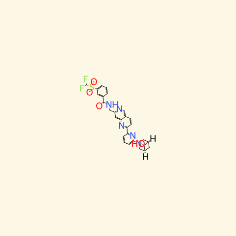 O=C(NCc1cc2nc(-c3cccc(N4C[C@H]5C[C@@H](C4)C5O)n3)ccc2cn1)c1cccc(S(=O)(=O)C(F)F)c1